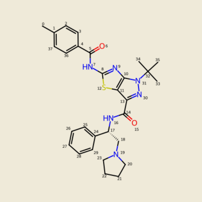 Cc1ccc(C(=O)Nc2nc3c(s2)c(C(=O)N[C@H](CN2CCCC2)c2ccccc2)nn3C(C)(C)C)cc1